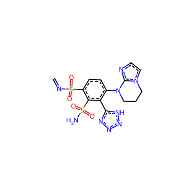 C=NS(=O)(=O)c1ccc(N2CCCn3ccnc32)c(-c2nnn[nH]2)c1S(N)(=O)=O